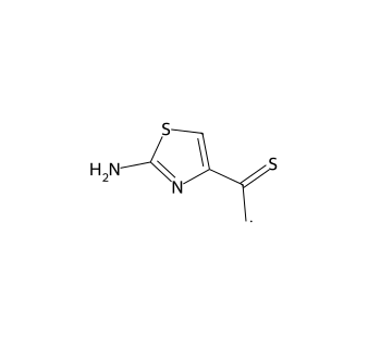 [CH2]C(=S)c1csc(N)n1